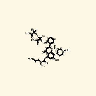 CNCCN(C)C(=O)Oc1cc(O)c([C@H]2CCN(C)C[C@H]2O)c2oc(-c3ccccc3Cl)cc(=O)c12.O=C(O)C(F)(F)F.O=C(O)C(F)(F)F